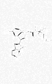 COc1ccc2c(c1)c(-c1cc3cccnc3[nH]1)cn2CC(=O)NC(C)(C)CCN